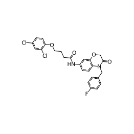 O=C(CCCOc1ccc(Cl)cc1Cl)Nc1ccc2c(c1)OCC(=O)N2Cc1ccc(F)cc1